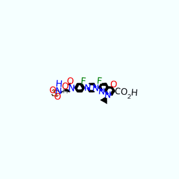 CS(=O)(=O)NC[C@H]1CN(c2ccc(N3CCN(c4nc5c(cc4F)c(=O)c(C(=O)O)cn5C4CC4)CC3)c(F)c2)C(=O)O1